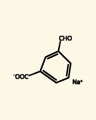 O=Cc1cccc(C(=O)[O-])c1.[Na+]